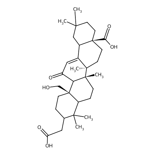 CC1(C)CC[C@]2(C(=O)O)CC[C@]3(C)C(=CC(=O)C4[C@@]5(CO)CCC(CC(=O)O)C(C)(C)C5CC[C@]43C)C2C1